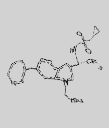 CC(C)(C)Cn1cc([C@H](NS(=O)(=O)C2CC2)C(F)(F)F)c2ccc(-c3cccnc3)cc21